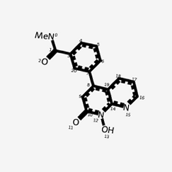 CNC(=O)c1cccc(-c2cc(=O)n(O)c3ncccc23)c1